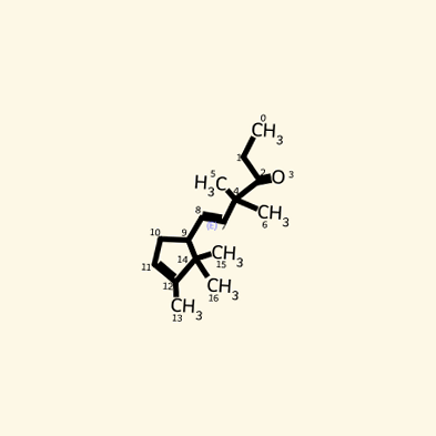 CCC(=O)C(C)(C)/C=C/C1CC=C(C)C1(C)C